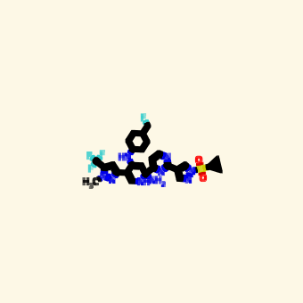 Cn1nc(C2=CNC(N)(c3ccnc(-c4cnn(S(=O)(=O)C5CC5)c4)n3)C=C2NC2CCC(CF)CC2)cc1C(F)(F)F